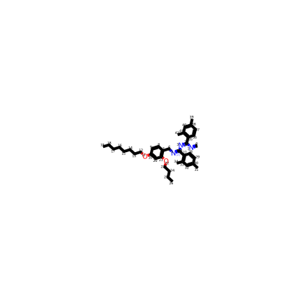 C=N/C(=N\C(=N/Cc1ccc(OCCCCCCCC)cc1OCCCC)c1ccc(C)cc1C)c1ccc(C)cc1C